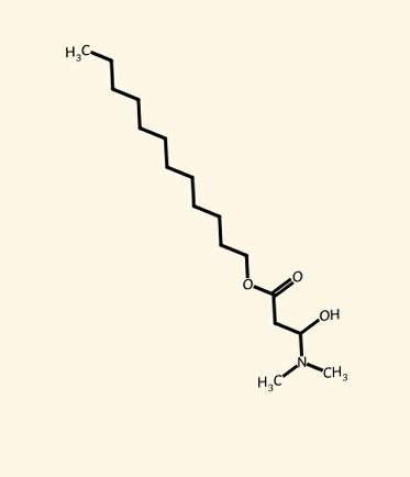 CCCCCCCCCCCCOC(=O)CC(O)N(C)C